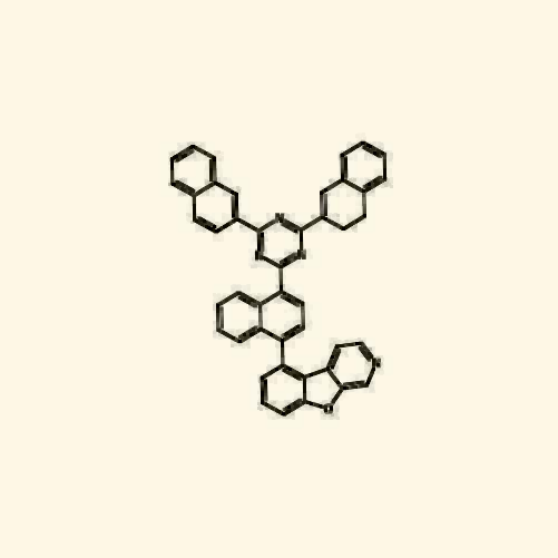 C1=C(c2nc(-c3ccc4ccccc4c3)nc(-c3ccc(-c4cccc5oc6cnccc6c45)c4ccccc34)n2)CCc2ccccc21